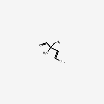 C/C=C/C(C)(C)C=O